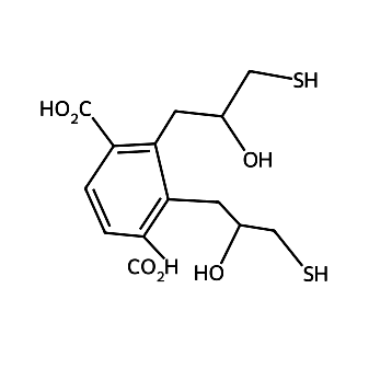 O=C(O)c1ccc(C(=O)O)c(CC(O)CS)c1CC(O)CS